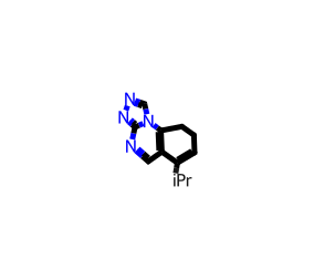 CC(C)C1=CCCc2c1cnc1nncn21